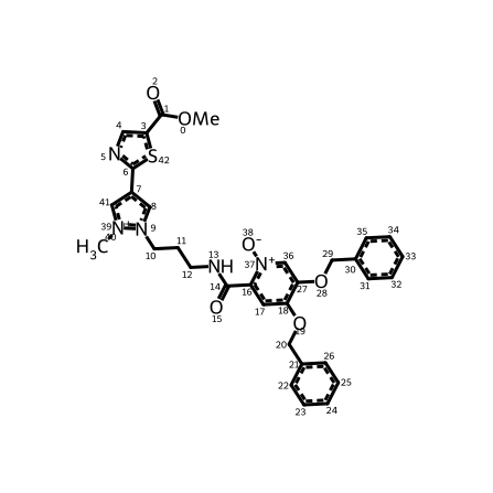 COC(=O)c1cnc(-c2cn(CCCNC(=O)c3cc(OCc4ccccc4)c(OCc4ccccc4)c[n+]3[O-])[n+](C)c2)s1